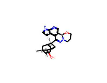 O[C@H]1CC2CC3CC(C[C@H]1C3)[C@H]2C1=NN2CCCOB2c2cnc3[nH]ccc3c21